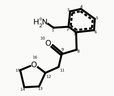 NCc1ccccc1CC(=O)CC1CCCO1